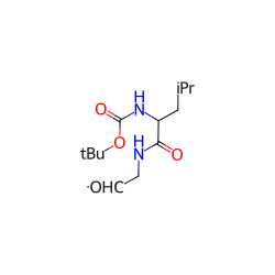 CC(C)CC(NC(=O)OC(C)(C)C)C(=O)NC[C]=O